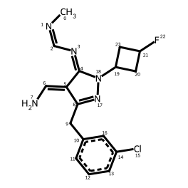 C\N=C/N=C1\C(=C\N)C(Cc2cccc(Cl)c2)=NN1C1CC(F)C1